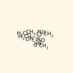 COc1cc(N2C(=O)N(C)C(=O)C23CCN(C(=O)OC(C)(C)C)CC3)ccn1